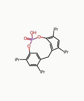 CC(C)c1cc(C(C)C)c2cc1Cc1cc(c(C(C)C)cc1C(C)C)OP(=O)(O)O2